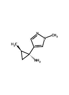 C[C@@H]1C[C@]1(N)c1cnn(C)c1